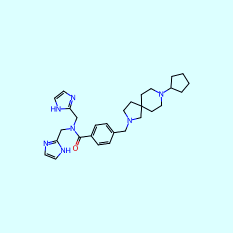 O=C(c1ccc(CN2CCC3(CCN(C4CCCC4)CC3)C2)cc1)N(Cc1ncc[nH]1)Cc1ncc[nH]1